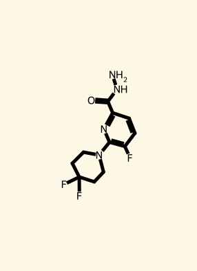 NNC(=O)c1ccc(F)c(N2CCC(F)(F)CC2)n1